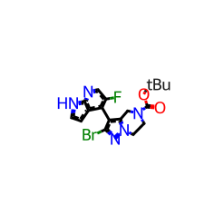 CC(C)(C)OC(=O)N1CCn2nc(Br)c(-c3c(F)cnc4[nH]ccc34)c2C1